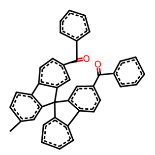 Cc1ccc2c(c1)C1(c3ccccc3-c3ccc(C(=O)c4ccccc4)cc31)c1cc(C(=O)c3ccccc3)ccc1-2